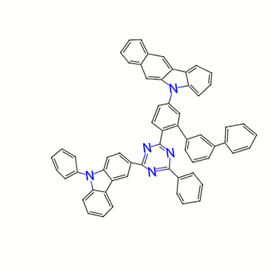 c1ccc(-c2cccc(-c3cc(-n4c5ccccc5c5cc6ccccc6cc54)ccc3-c3nc(-c4ccccc4)nc(-c4ccc5c(c4)c4ccccc4n5-c4ccccc4)n3)c2)cc1